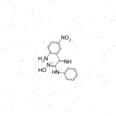 N=C(/C(=N/O)Nc1ccccc1)c1cc([N+](=O)[O-])ccc1N